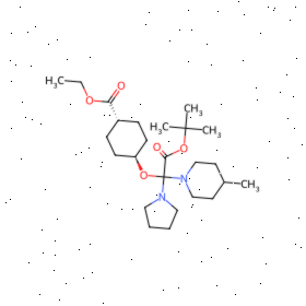 CCOC(=O)[C@H]1CC[C@H](OC(C(=O)OC(C)(C)C)(N2CCCC2)N2CCC(C)CC2)CC1